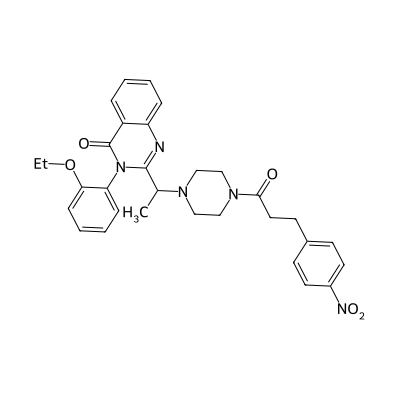 CCOc1ccccc1-n1c(C(C)N2CCN(C(=O)CCc3ccc([N+](=O)[O-])cc3)CC2)nc2ccccc2c1=O